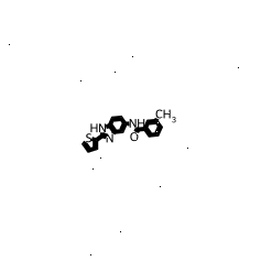 Cc1cccc(C(=O)Nc2ccc3[nH]c(-c4cccs4)nc3c2)c1